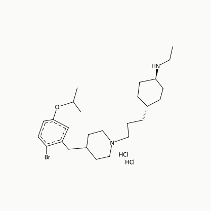 CCN[C@H]1CC[C@H](CCCN2CCC(Cc3cc(OC(C)C)ccc3Br)CC2)CC1.Cl.Cl